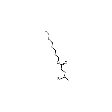 CCCCCCCCOC(=O)CCC(C)Br